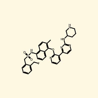 Cc1ccc2c(NS(=O)(=O)Cc3ccccc3CF)cccc2c1Oc1ncccc1-c1ccnc(NC2CCCNC2)n1